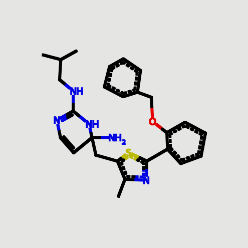 Cc1nc(-c2ccccc2OCc2ccccc2)sc1CC1(N)C=CN=C(NCC(C)C)N1